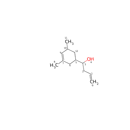 C=CCC(O)C1CC(C)=CC(C)C1